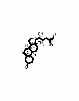 CC/C=C(\CC[C@@H](C)[C@H]1CC[C@H]2[C@@H]3CC=C4CC(O)CC[C@]4(C)[C@H]3CC[C@]12C)C(C)C